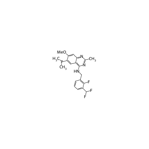 COc1cc2nc(C)nc(NCc3cccc(C(F)F)c3F)c2cc1P(C)C